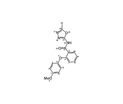 COc1ccc(Oc2ccccc2C(=O)Nc2nnc(C)o2)cc1